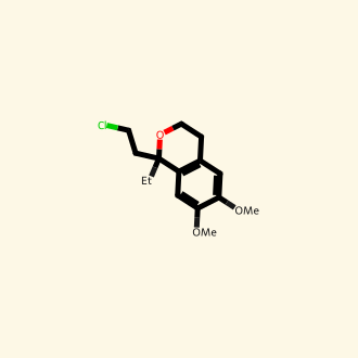 CCC1(CCCl)OCCc2cc(OC)c(OC)cc21